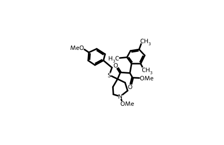 COC(=O)C(C(=O)C1(SCc2ccc(OC)cc2)CCN(OC)CC1)c1c(C)cc(C)cc1C